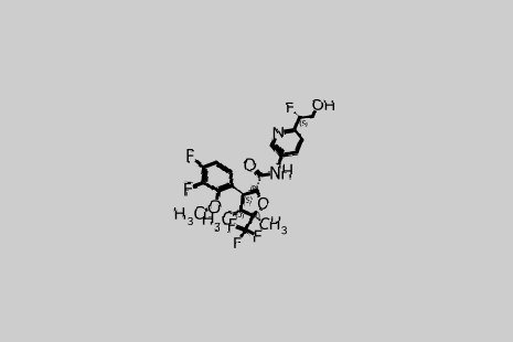 COc1c([C@H]2[C@H](C(=O)Nc3ccc([C@H](F)CO)nc3)O[C@@](C)(C(F)(F)F)[C@H]2C)ccc(F)c1F